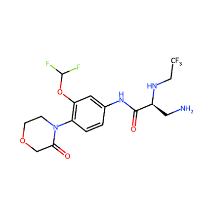 NC[C@H](NCC(F)(F)F)C(=O)Nc1ccc(N2CCOCC2=O)c(OC(F)F)c1